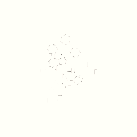 O=C(O)C1C2CCC(CC2)C1Nc1nc(-c2cn(C(c3ccccc3)(c3ccccc3)c3ccccc3)c3ncc(Cl)nc23)nc2c1ccn2C(CF)CF